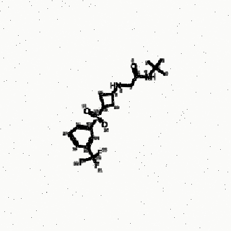 CC(C)(C)NC(=O)CNC1CC(S(=O)(=O)c2cccc(C(F)(F)F)c2)C1